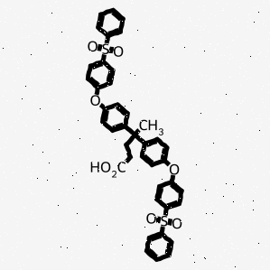 CC(CCC(=O)O)(c1ccc(Oc2ccc(S(=O)(=O)c3ccccc3)cc2)cc1)c1ccc(Oc2ccc(S(=O)(=O)c3ccccc3)cc2)cc1